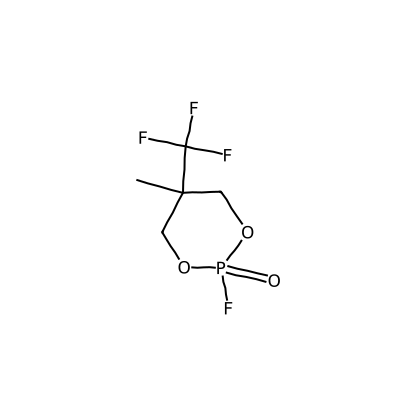 CC1(C(F)(F)F)COP(=O)(F)OC1